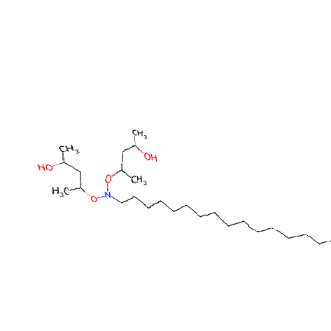 CCCCCCCCCCCCCCCCN(OC(C)CC(C)O)OC(C)CC(C)O